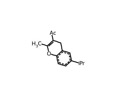 CC(=O)C1=C(C)Oc2ccc(C(C)C)cc2C1